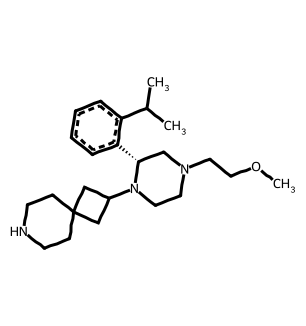 COCCN1CCN(C2CC3(CCNCC3)C2)[C@H](c2ccccc2C(C)C)C1